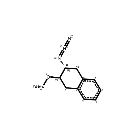 CCCCCCO[C@@H]1Cc2ccccc2C[C@H]1N=[N+]=[N-]